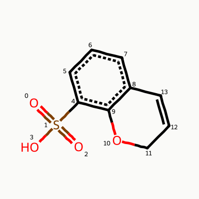 O=S(=O)(O)c1cccc2c1OCC=C2